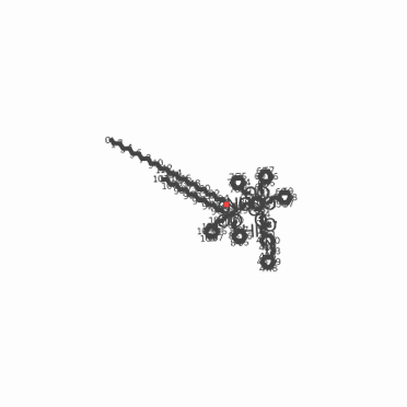 CCCCCCCCCCCCCCCCCCCCCCCCCC(=O)N[C@@H](CO[C@@H]1O[C@H](COC(=O)NC2CCN(Cc3ccccc3)CC2)[C@H](OCc2ccccc2)[C@H](OCc2ccccc2)[C@H]1OCc1ccccc1)[C@H](OCc1ccccc1)[C@@H](CCCCCCCCCCCCCC)OCc1ccccc1